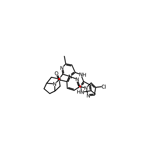 Cc1cc(Nc2cc(C)[nH]n2)nc(N2CC3CCC(C2)N3C(=O)c2ccc(-n3cc(Cl)cn3)nc2)n1